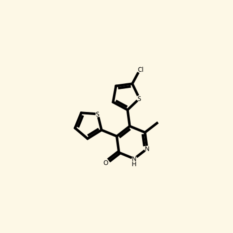 Cc1n[nH]c(=O)c(-c2cccs2)c1-c1ccc(Cl)s1